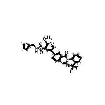 COc1ncc(-c2ccc3nc(N)n(-c4ccccc4C(F)(F)F)c(=O)c3c2)cc1S(=O)(=O)NCc1cccs1